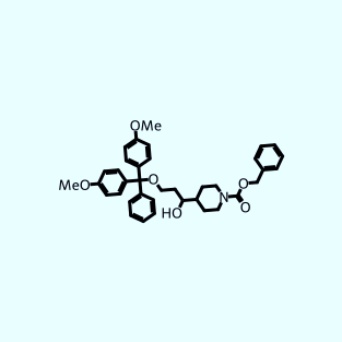 COc1ccc(C(OCCC(O)C2CCN(C(=O)OCc3ccccc3)CC2)(c2ccccc2)c2ccc(OC)cc2)cc1